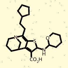 O=C(O)C1=C2C(=C(CCC3CCCC3)N3CCCC2C3)SC1NC1CCCCO1